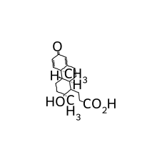 C[C@]1(O)CC[C@H]2[C@@H](CCC3=CC(=O)C=C[C@@]32C)C1CCC(=O)O